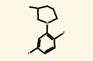 CC1CCCN(c2cc(F)ccc2F)C1